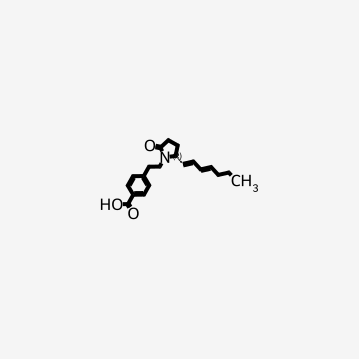 CCCC=CC=C[C@H]1CCC(=O)N1CCc1ccc(C(=O)O)cc1